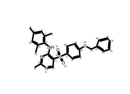 Cc1cc(C)c(Nc2nc(C)ncc2S(=O)(=O)c2ccc(OCc3ccccc3)cc2)c(C)c1